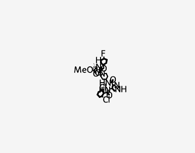 COC(=O)[C@H](C)NP(=O)(Oc1ccc(F)cc1)N1CCC(NC(=O)c2n[nH]cc2NC(=O)c2c(Cl)cccc2Cl)CC1